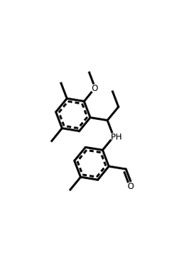 CCC(Pc1ccc(C)cc1C=O)c1cc(C)cc(C)c1OC